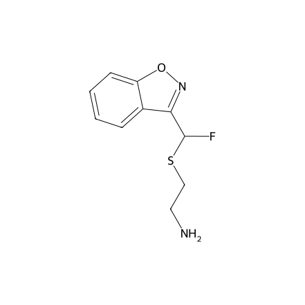 NCCSC(F)c1noc2ccccc12